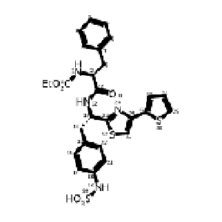 CCOC(=O)N[C@@H](Cc1ccccc1)C(=O)N[C@@H](Cc1ccc(NS(=O)(=O)O)cc1)c1nc(-c2cccs2)cs1